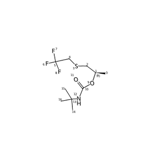 C[C@H](CSCC(F)(F)F)OC(=O)NC(C)(C)C